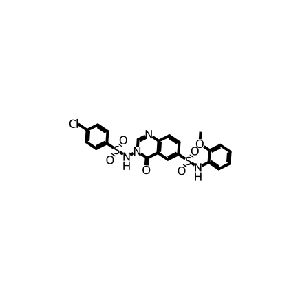 COc1ccccc1NS(=O)(=O)c1ccc2ncn(NS(=O)(=O)c3ccc(Cl)cc3)c(=O)c2c1